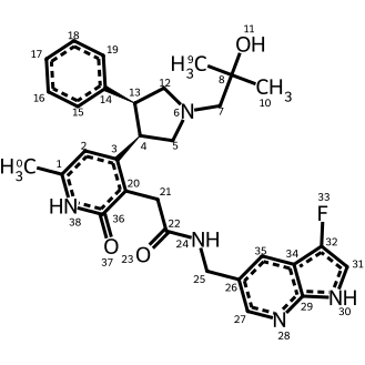 Cc1cc([C@@H]2CN(CC(C)(C)O)C[C@@H]2c2ccccc2)c(CC(=O)NCc2cnc3[nH]cc(F)c3c2)c(=O)[nH]1